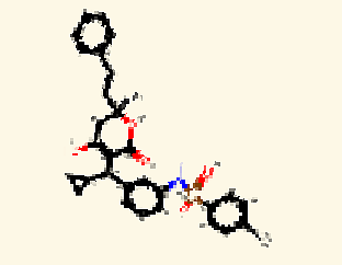 CCCC1(CCc2ccccc2)CC(O)=C(C(c2cccc(NS(=O)(=O)c3ccc(C#N)cc3)c2)C2CC2)C(=O)O1